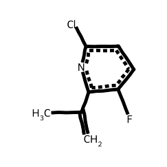 C=C(C)c1nc(Cl)ccc1F